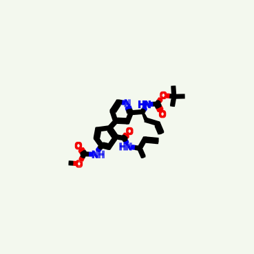 C=CC[C@H](NC(=O)OC(C)(C)C)c1cc(-c2ccc(NC(=O)OC)cc2C(=O)NC(C)C=C)ccn1